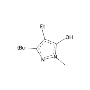 CCc1c(C(C)(C)C)nn(C)c1O